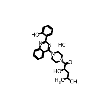 CC(C)CC(O)C(=O)N1CCN(c2nc(-c3ccccc3O)nc3ccccc23)CC1.Cl